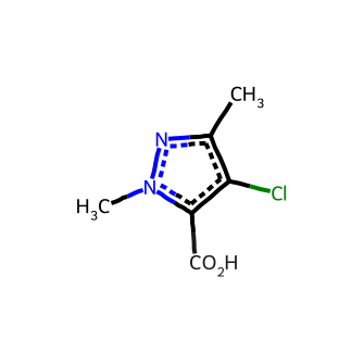 Cc1nn(C)c(C(=O)O)c1Cl